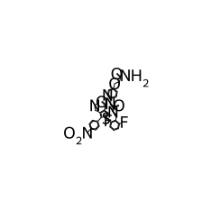 CN(C)Cc1c(-c2ccc([N+](=O)[O-])cc2)sc2c1c(=O)n(-c1ccc(OCC(N)=O)cn1)c(=O)n2Cc1c(F)cccc1F